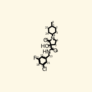 CC1CCC(N2CCC(O)(C(=O)NCc3cc(F)cc(Cl)c3)C2=O)CC1